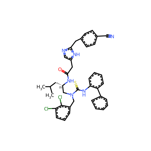 CC(C)C[C@@H](CN(Cc1cccc(Cl)c1Cl)C(=S)Nc1ccccc1-c1ccccc1)NC(=O)Cc1cnc(Cc2ccc(C#N)cc2)[nH]1